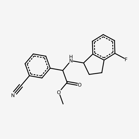 COC(=O)C(NC1CCc2c(F)cccc21)c1cccc(C#N)c1